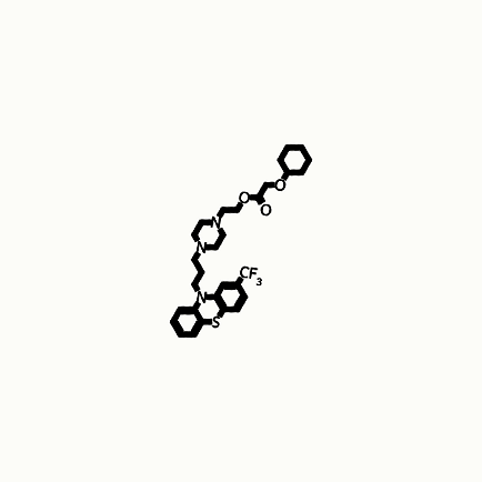 O=C(COC1CCCCC1)OCCN1CCN(CCCN2c3ccccc3Sc3ccc(C(F)(F)F)cc32)CC1